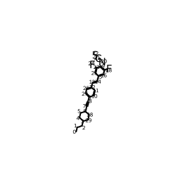 CCCC1CCC(C#Cc2ccc(/C=C/c3cc(F)c(N=C=S)c(F)c3)cc2)CC1